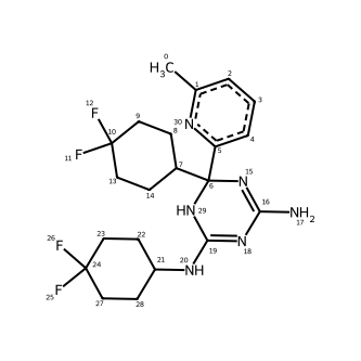 Cc1cccc(C2(C3CCC(F)(F)CC3)N=C(N)N=C(NC3CCC(F)(F)CC3)N2)n1